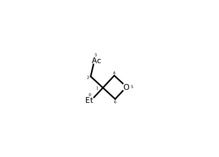 CCC1(CC(C)=O)COC1